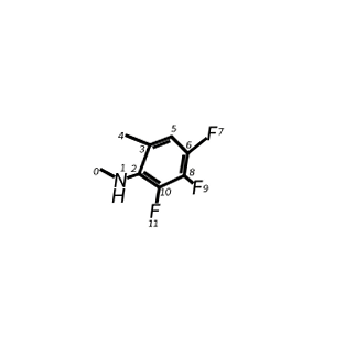 CNc1c(C)cc(F)c(F)c1F